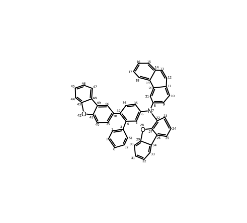 c1ccc(-c2cc(N(c3ccc4ccc5ccccc5c4c3)c3cccc4c3oc3ccccc34)ccc2-c2ccc3oc4ccccc4c3c2)cc1